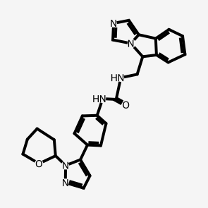 O=C(NCC1c2ccccc2-c2cncn21)Nc1ccc(-c2ccnn2C2CCCCO2)cc1